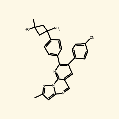 Cc1cc2ncc3cc(-c4ccc(C#N)cc4)c(-c4ccc(C5(N)CC(C)(O)C5)cc4)nc3n2n1